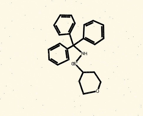 [O-][S+](NC(c1ccccc1)(c1ccccc1)c1ccccc1)C1CCOCC1